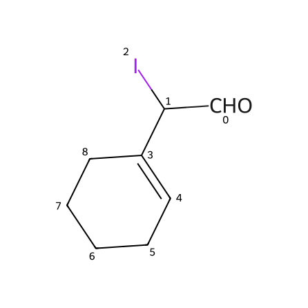 O=CC(I)C1=CCCCC1